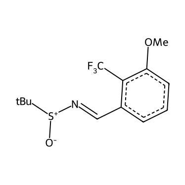 COc1cccc(C=N[S+]([O-])C(C)(C)C)c1C(F)(F)F